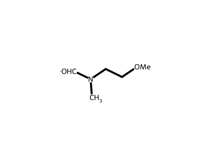 COCCN(C)[C]=O